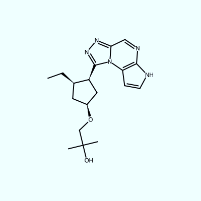 CC[C@@H]1C[C@H](OCC(C)(C)O)C[C@@H]1c1nnc2cnc3[nH]ccc3n12